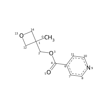 CC1(COC(=O)c2ccncc2)COC1